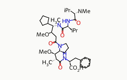 CN[C@H](C(=O)N[C@H](C(=O)N(C)[C@@H](C1CCCC1)[C@@H](CC(=O)N1CCC[C@H]1[C@H](OC)[C@@H](C)C(=O)N[C@@H](Cc1ccccc1)C(=O)O)OC)C(C)C)C(C)C